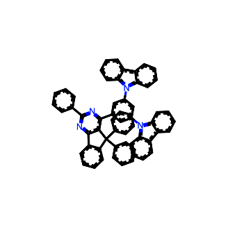 c1ccc(-c2nc(-c3cc(-n4c5ccccc5c5ccccc54)cc(-n4c5ccccc5c5ccccc54)c3)c3c(n2)-c2ccccc2C3(c2ccccc2)c2ccccc2)cc1